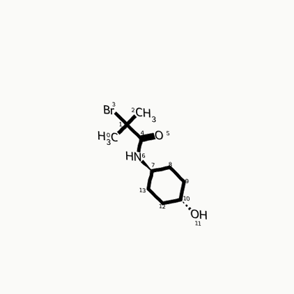 CC(C)(Br)C(=O)N[C@H]1CC[C@H](O)CC1